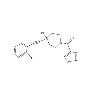 O=C(c1ccoc1)N1CCC(O)(C#Cc2ccccc2Cl)CC1